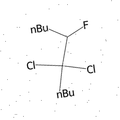 CCCCC(F)C(Cl)(Cl)CCCC